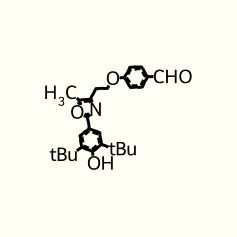 Cc1oc(-c2cc(C(C)(C)C)c(O)c(C(C)(C)C)c2)nc1CCOc1ccc(C=O)cc1